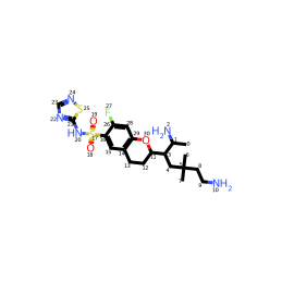 CC(N)C(CC(C)(C)CCN)C1CCc2cc(S(=O)(=O)Nc3ncns3)c(F)cc2O1